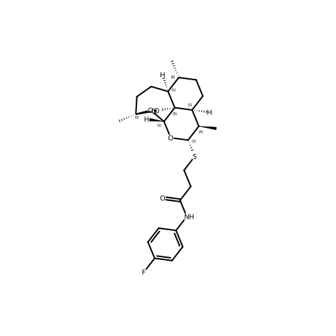 C[C@H]1[C@H](SCCC(=O)Nc2ccc(F)cc2)O[C@@H]2O[C@]3(C)CC[C@H]4[C@H](C)CC[C@@H]1[C@@]24OO3